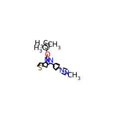 CN1CCN(c2ccc(-c3nn(COCC[Si](C)(C)C)c4c3Cc3sccc3-4)cc2)CC1